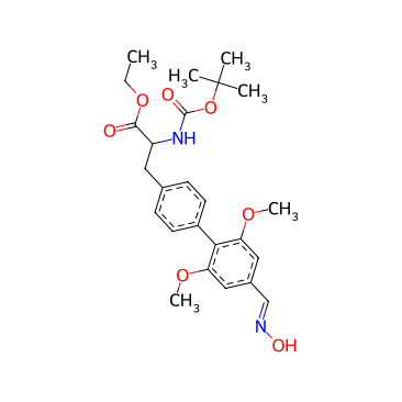 CCOC(=O)C(Cc1ccc(-c2c(OC)cc(C=NO)cc2OC)cc1)NC(=O)OC(C)(C)C